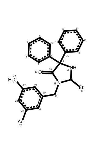 CCC1NC(c2ccccc2)(c2ccccc2)C(=O)N1Cc1cc(C)cc(C(C)=O)c1